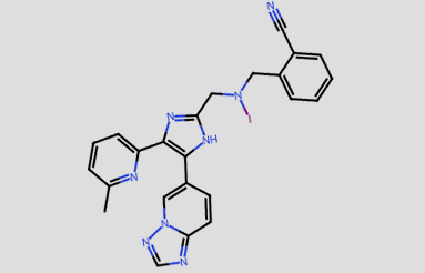 Cc1cccc(-c2nc(CN(I)Cc3ccccc3C#N)[nH]c2-c2ccc3ncnn3c2)n1